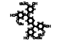 CC(C)(C)Oc1cc(C(c2ccc(C(c3ccc(O)c(OC(C)(C)C)c3)c3ccc(O)c(OC(C)(C)C)c3)cc2)c2ccc(O)c(OC(C)(C)C)c2)ccc1O